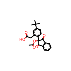 CC(=O)OC1(c2ccc(C(C)(C)C)cc2CC(=O)O)C(=O)c2ccccc2C1=O